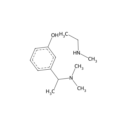 CC(c1cccc(O)c1)N(C)C.CCNC